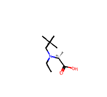 CCN(CC(C)(C)C)[C@H](C)C(=O)O